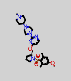 COc1cc(C)c(S(=O)(=O)N2CCC[C@H]2COc2ccnc(N3CCN(C4CCN(C)CC4)CC3)n2)c(C)c1